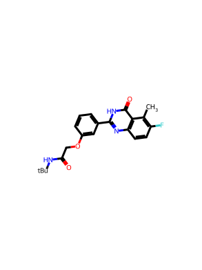 Cc1c(F)ccc2nc(-c3cccc(OCC(=O)NC(C)(C)C)c3)[nH]c(=O)c12